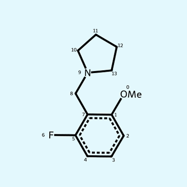 COc1cccc(F)c1CN1CCCC1